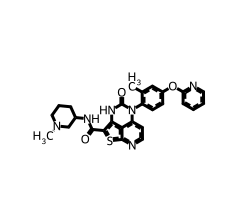 Cc1cc(Oc2ccccn2)ccc1N1C(=O)Nc2c(C(=O)NC3CCCN(C)C3)sc3nccc1c23